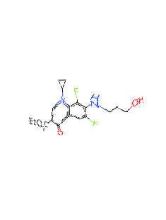 CCOC(=O)c1cn(C2CC2)c2c(F)c(NCCCO)c(F)cc2c1=O